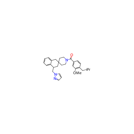 COc1cc(C(=O)N2CCC3(CC2)Cc2ccccc2C(Cn2cccn2)C3)ccc1CC(C)C